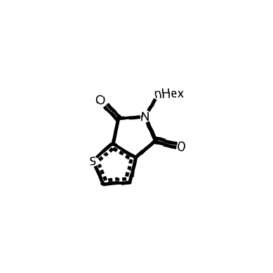 CCCCCCN1C(=O)c2ccsc2C1=O